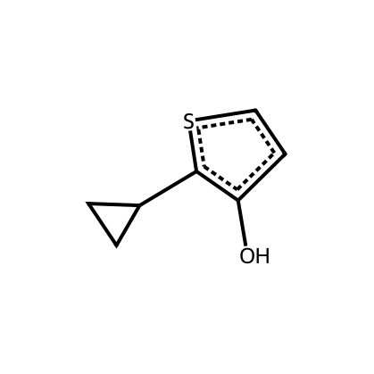 Oc1ccsc1C1CC1